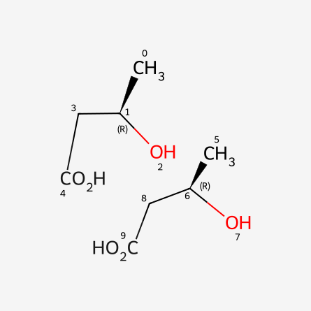 C[C@@H](O)CC(=O)O.C[C@@H](O)CC(=O)O